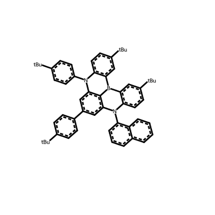 CC(C)(C)c1ccc(-c2cc3c4c(c2)N(c2cccc5ccccc25)c2ccc(C(C)(C)C)cc2B4c2cc(C(C)(C)C)ccc2N3c2ccc(C(C)(C)C)cc2)cc1